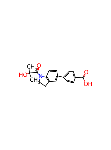 CC(C)(O)C(=O)N1CCc2cc(-c3ccc(C(=O)O)cc3)ccc21